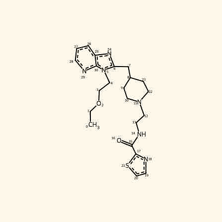 CCOCCn1c(CC2CCN(CCNC(=O)c3nccs3)CC2)nc2cccnc21